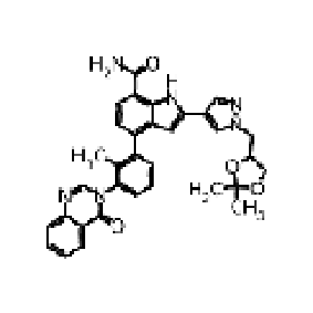 Cc1c(-c2ccc(C(N)=O)c3[nH]c(-c4cnn(CC5COC(C)(C)O5)c4)cc23)cccc1-n1cnc2ccccc2c1=O